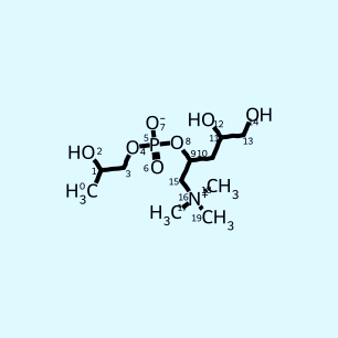 CC(O)COP(=O)([O-])OC(CC(O)CO)C[N+](C)(C)C